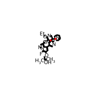 CCOc1ncc(CN2C3CC2CN(c2ccc(-c4cc(OCC(C)(C)O)c(F)n5ncc(C#N)c45)cn2)C3)cc1F